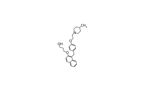 CC1CCN(CCOc2ccc(Cc3c(OCCCO)ccc4ccccc34)cc2)CC1